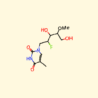 COC(CO)C(O)[C@@H](F)Cn1cc(C)c(=O)[nH]c1=O